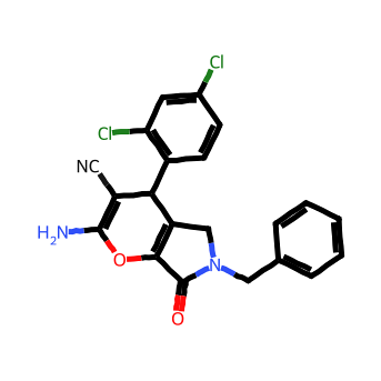 N#CC1=C(N)OC2=C(CN(Cc3ccccc3)C2=O)C1c1ccc(Cl)cc1Cl